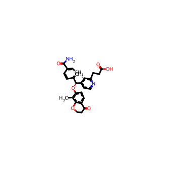 C=C(/C=C\C(=C/C)C(N)=O)[C@H](Oc1ccc2c(c1C)OCCC2=O)c1ccnc(CCC(=O)O)c1